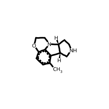 Cc1ccc2c3c1[C@H]1CNCC[C@H]1N3CCO2